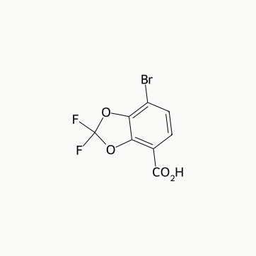 O=C(O)c1ccc(Br)c2c1OC(F)(F)O2